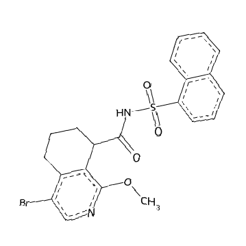 COc1ncc(Br)c2c1C(C(=O)NS(=O)(=O)c1cccc3ccccc13)CCC2